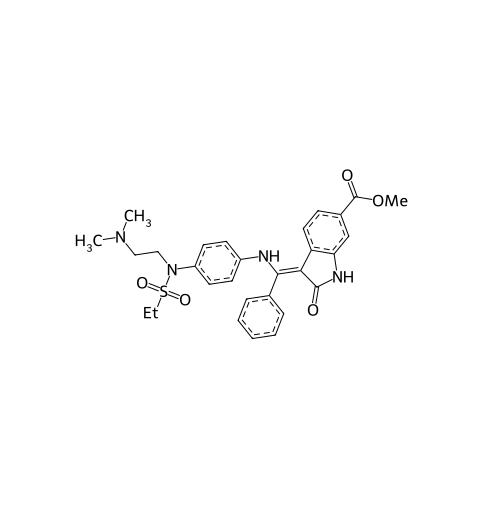 CCS(=O)(=O)N(CCN(C)C)c1ccc(NC(=C2C(=O)Nc3cc(C(=O)OC)ccc32)c2ccccc2)cc1